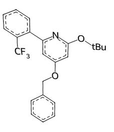 CC(C)(C)Oc1cc(OCc2ccccc2)cc(-c2ccccc2C(F)(F)F)n1